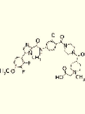 COc1ccc(-c2cnc(C(=O)Nc3ccc(C(=O)N4CCN(C(=O)C5CC[N+](C)(CC(=O)O)CC5)CC4)c(Cl)c3)n2C)c(F)c1F